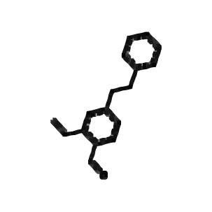 C=Cc1cc(CCc2ccccc2)ccc1C=O